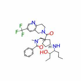 CCCC(N[C@@H]1CC[C@](CN(C)C(=O)c2ccccc2)(C(=O)N2CCc3ncc(C(F)(F)F)cc3C2)C1)C(O)CC